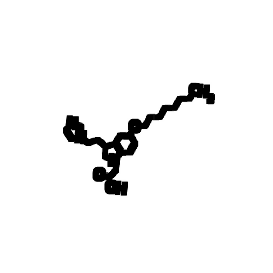 CCCCCCCCOc1ccc2c(c1)C(CCn1ccnc1)CN2CC(=O)O